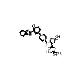 CC(C)(C)OC(=O)N1C[C@H](O)C[C@H]1C(=O)N1CCN(c2ccc(Cl)c(-c3nc4ccccc4[nH]3)c2)CC1